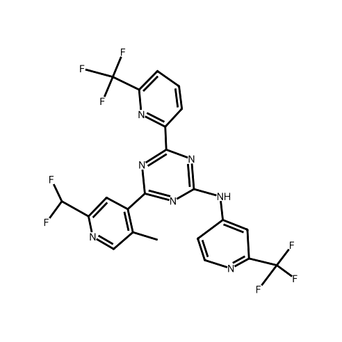 Cc1cnc(C(F)F)cc1-c1nc(Nc2ccnc(C(F)(F)F)c2)nc(-c2cccc(C(F)(F)F)n2)n1